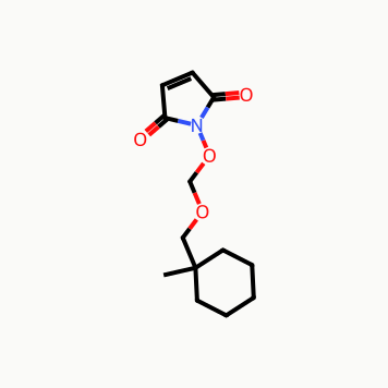 CC1(COCON2C(=O)C=CC2=O)CCCCC1